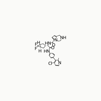 Cc1nccc(Cl)c1-c1ccc(NC(=O)C(NC(=O)c2ccc3n2CCNC3)[C@@H]2C[C@@H]3[C@H](C2)C3(F)F)cc1